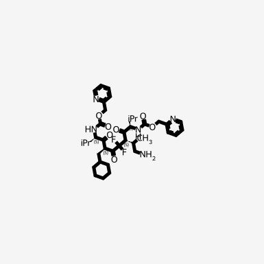 CC(C)[C@H](NC(=O)OCc1ccccn1)C(=O)[C@H](CC1CCCCC1)C(=O)C(F)(F)[C@H](C(=O)[C@@H](NC(=O)OCc1ccccn1)C(C)C)C(C)CN